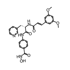 COc1cc(/C=C/C(=O)N[C@@H](Cc2cccnc2)C(=O)Nc2ccc(C(=O)NO)cc2)cc(OC)c1